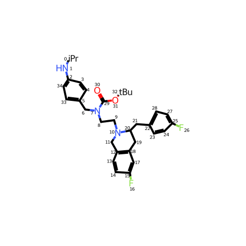 CC(C)Nc1ccc(CN(CCN2Cc3ccc(F)cc3CC2Cc2ccc(F)cc2)C(=O)OC(C)(C)C)cc1